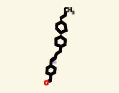 CCC[C@H]1CC[C@H](C2CCC(CC/C=C/C3CCC(C=O)CC3)CC2)CC1